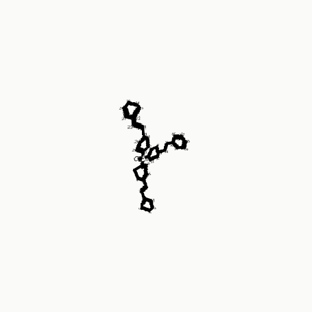 O=P(c1ccc(/C=C/c2ccccc2)cc1)(c1ccc(/C=C/c2ccccc2)cc1)c1ccc(/C=C/c2ccccc2)cc1